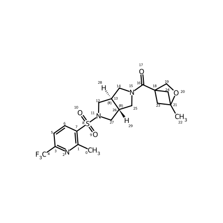 Cc1nc(C(F)(F)F)ccc1S(=O)(=O)N1C[C@H]2CN(C(=O)C34COC(C)(C3)C4)C[C@@H]2C1